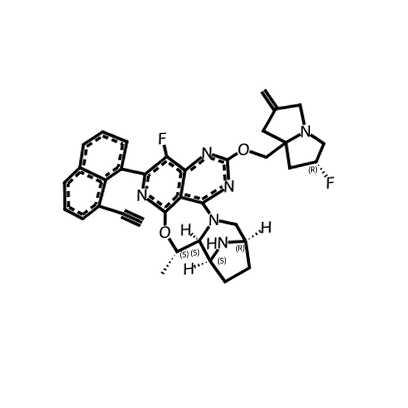 C#Cc1cccc2cccc(-c3nc4c5c(nc(OCC67CC(=C)CN6C[C@H](F)C7)nc5c3F)N3C[C@H]5CC[C@H](N5)[C@H]3[C@H](C)O4)c12